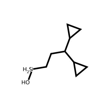 O[SiH2]CCC(C1CC1)C1CC1